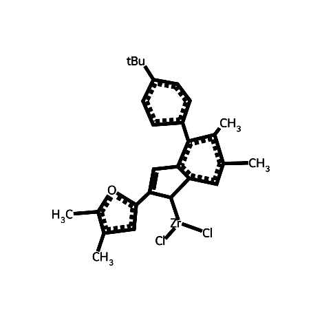 Cc1cc(C2=Cc3c(cc(C)c(C)c3-c3ccc(C(C)(C)C)cc3)[CH]2[Zr]([Cl])[Cl])oc1C